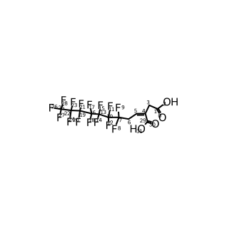 O=C(O)CC(=CCC(F)(F)C(F)(F)C(F)(F)C(F)(F)C(F)(F)C(F)(F)C(F)(F)F)C(=O)O